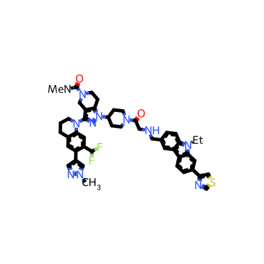 CCn1c2ccc(CNCC(=O)N3CCC(n4nc(N5CCCc6cc(-c7cnn(C)c7)c(C(F)F)cc65)c5c4CCN(C(=O)NC)C5)CC3)cc2c2ccc(-c3cscn3)cc21